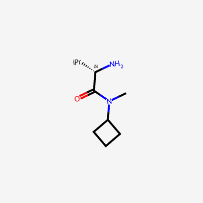 CC(C)[C@H](N)C(=O)N(C)C1CCC1